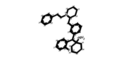 NC1(C(c2cccc(CC3CCCCN3CCc3ccccc3)c2)c2ccccc2F)CCCCC1